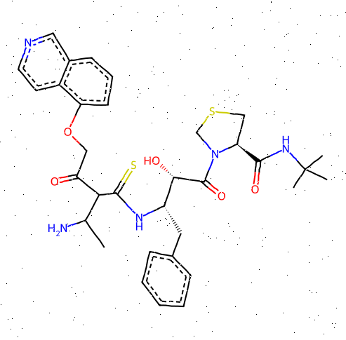 CC(N)C(C(=O)COc1cccc2cnccc12)C(=S)N[C@@H](Cc1ccccc1)[C@H](O)C(=O)N1CSC[C@H]1C(=O)NC(C)(C)C